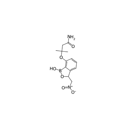 CC(C)(CC(N)=O)Oc1cccc2c1B(O)OC2C[N+](=O)[O-]